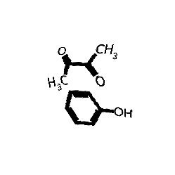 CC(=O)C(C)=O.Oc1ccccc1